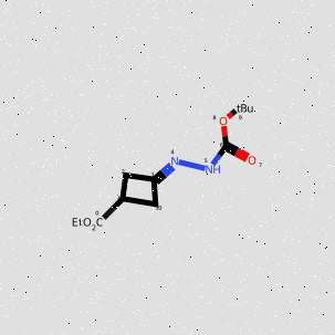 CCOC(=O)C1CC(=NNC(=O)OC(C)(C)C)C1